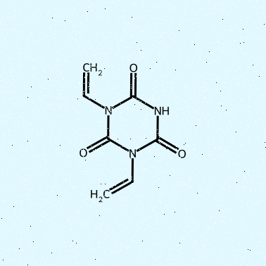 C=Cn1c(=O)[nH]c(=O)n(C=C)c1=O